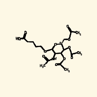 CC(=O)NC1C(OCCCCC(=O)O)O[C@H](COC(C)=O)C(OC(C)=O)C1OC(C)=O